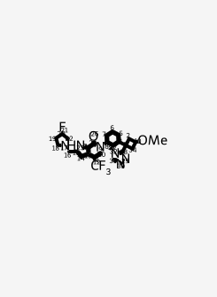 COC1CC(c2cccc(-n3cc(C(F)(F)F)c4cc(CN5CC[C@H](F)C5)[nH]c4c3=O)c2)(c2nncn2C)C1